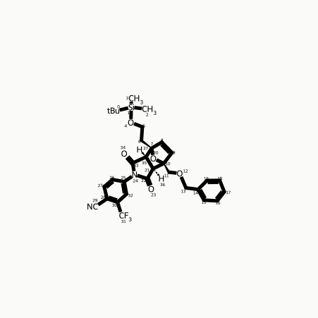 CC(C)(C)[Si](C)(C)OCC[C@@]12C=C[C@@](COCc3ccccc3)(O1)[C@H]1C(=O)N(c3ccc(C#N)c(C(F)(F)F)c3)C(=O)[C@H]12